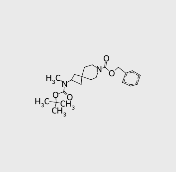 CN(C(=O)OC(C)(C)C)C1CC2(CCN(C(=O)OCc3ccccc3)CC2)C1